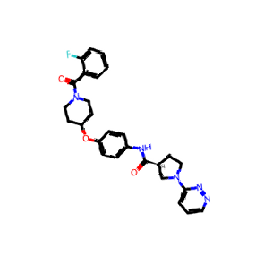 O=C(Nc1ccc(OC2CCN(C(=O)c3ccccc3F)CC2)cc1)[C@H]1CCN(c2cccnn2)C1